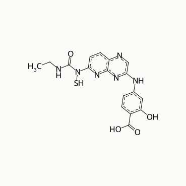 CCNC(=O)N(S)c1ccc2ncc(Nc3ccc(C(=O)O)c(O)c3)nc2n1